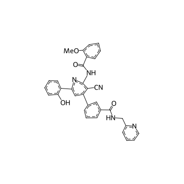 COc1ccccc1C(=O)Nc1nc(-c2ccccc2O)cc(-c2cccc(C(=O)NCc3ccccn3)c2)c1C#N